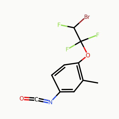 Cc1cc(N=C=O)ccc1OC(F)(F)C(F)Br